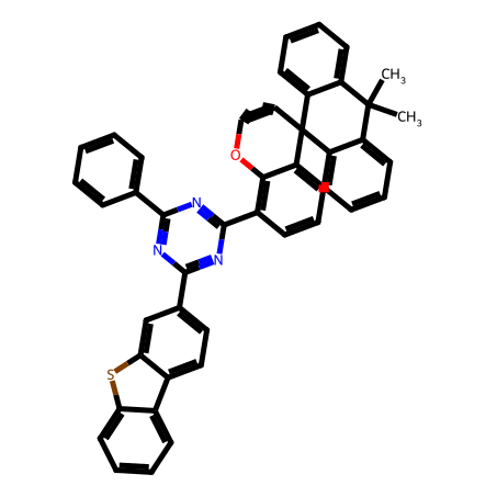 CC1(C)c2ccccc2C2(c3ccccc3Oc3c(-c4nc(-c5ccccc5)nc(-c5ccc6c(c5)sc5ccccc56)n4)cccc32)c2ccccc21